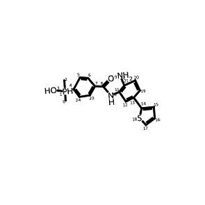 C[PH](C)(O)c1ccc(C(=O)Nc2cc(-c3cccs3)ccc2N)cc1